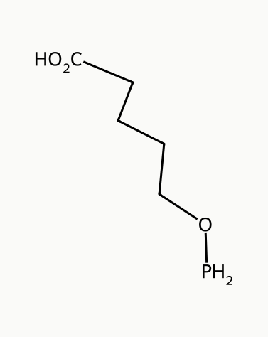 O=C(O)CCCCOP